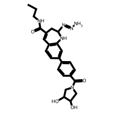 CCCNC(=O)C1=Cc2ccc(-c3ccc(C(=O)N4CC(O)C(O)C4)cc3)cc2NC(N=NN)C1